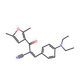 CCN(CC)c1ccc(C=C(C#N)C(=O)c2cc(C)oc2C)cc1